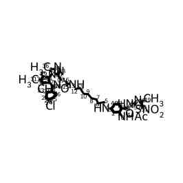 CC(=O)Nc1cc(NCCCCCCCCNC(=O)C[C@@H]2N=C(c3ccc(Cl)cc3)c3c(sc(C)c3C)-n3c(C)nnc32)ccc1C(=O)Nc1nc(C)c([N+](=O)[O-])s1